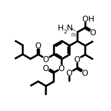 CCC(C)CC(=O)Oc1ccc(C(C(C)C(C)OC(=O)OC)[C@H](N)C(=O)O)cc1OC(=O)CC(C)CC